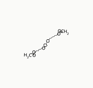 C=CC(=O)OCCCCCCCc1ccc(-c2ccc(OCCCCCCOC(=O)C=C)cc2)cc1